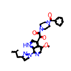 COc1cnc(-n2ccc(CC(C)C)n2)c2[nH]cc(C(=O)C(=O)N3CCN(C(=O)c4ccccc4)CC3)c12